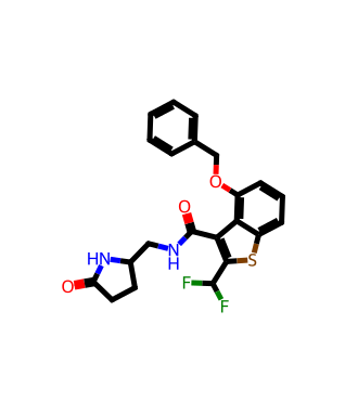 O=C1CCC(CNC(=O)c2c(C(F)F)sc3cccc(OCc4ccccc4)c23)N1